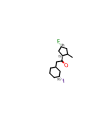 CC1C[C@@H](F)C[C@@H]1C(=O)CC1CCC[C@@H](I)C1